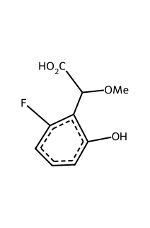 COC(C(=O)O)c1c(O)cccc1F